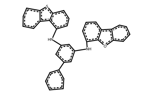 c1ccc(-c2cc(Nc3cccc4c3oc3ccccc34)cc(Nc3cccc4sc5ccccc5c34)c2)cc1